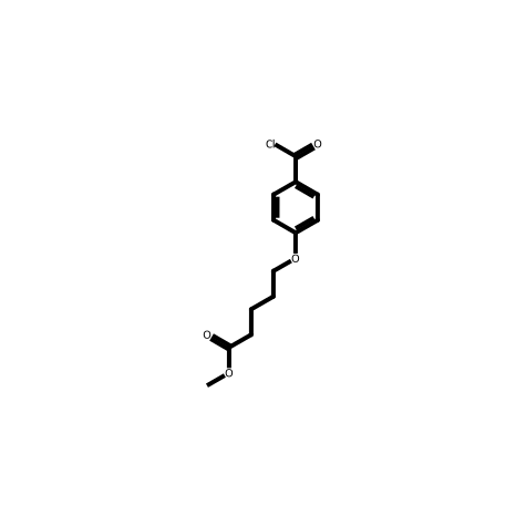 COC(=O)CCCCOc1ccc(C(=O)Cl)cc1